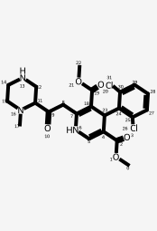 COC(=O)C1=CNC(CC(=O)C2CNCCN2C)=C(C(=O)OC)C1c1c(Cl)cccc1Cl